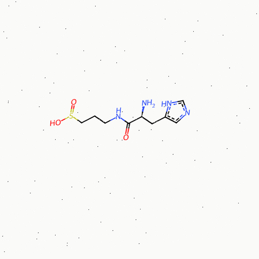 N[C@@H](Cc1cnc[nH]1)C(=O)NCCCS(=O)O